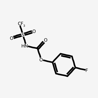 O=C(NS(=O)(=O)C(F)(F)F)Oc1ccc(F)cc1